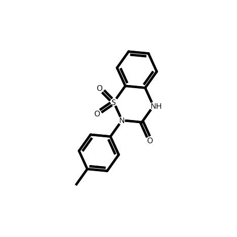 Cc1ccc(N2C(=O)Nc3ccccc3S2(=O)=O)cc1